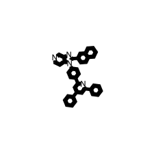 c1ccc(-c2cc(-c3ccccc3)nc(-c3ccc(-n4c(-c5ccc6ccccc6c5)nc5cnccc54)cc3)c2)cc1